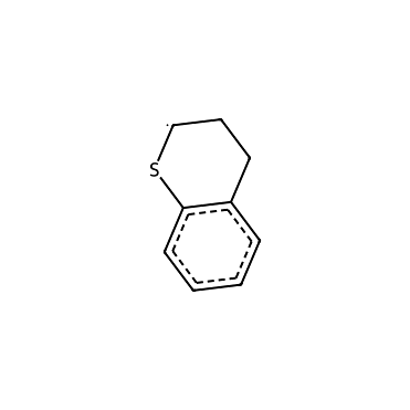 [CH]1CCc2ccccc2S1